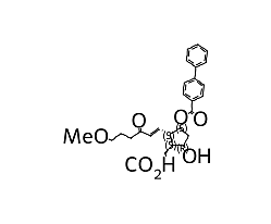 COCCCC(=O)C=C[C@H]1[C@H](CC(=O)O)[C@H](O)C[C@@H]1OC(=O)c1ccc(-c2ccccc2)cc1